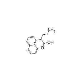 CCCC(C(=O)O)c1cccc2[c]cccc12